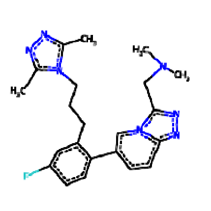 Cc1nnc(C)n1CCCc1cc(F)ccc1-c1ccc2nnc(CN(C)C)n2c1